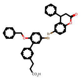 O=C(O)CCc1cccc(-c2cc(Br)ccc2OCc2ccccc2)c1.O=C1CC(c2ccccc2)c2cc(Br)ccc2O1